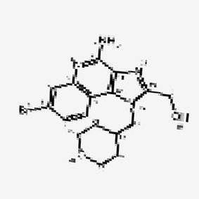 Nc1nc2cc(Br)ccc2c2c1nc(CO)n2CC1CCOCC1